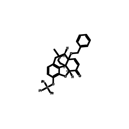 CC(C)[Si](Oc1ccc2c3c1O[C@H]1C(=O)C=CC4(OCc5ccccc5)[C@@H](C2)N(C)CC[C@]314)(C(C)C)C(C)C